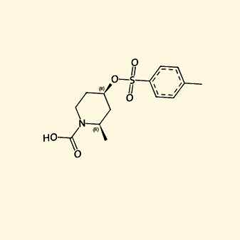 Cc1ccc(S(=O)(=O)O[C@@H]2CCN(C(=O)O)[C@H](C)C2)cc1